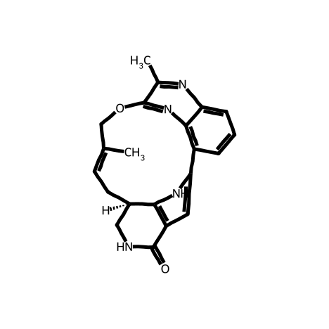 C/C1=C\C[C@@H]2CNC(=O)c3cc([nH]c32)-c2cccc3nc(C)c(nc23)OC1